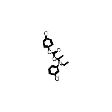 CCN(c1cccc(Cl)c1)C(C)OC(=O)Oc1ccc(Cl)cc1